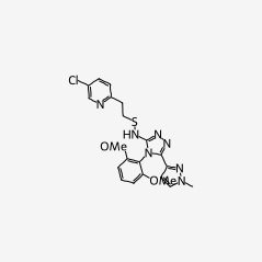 COc1cccc(OC)c1-n1c(NSCCc2ccc(Cl)cn2)nnc1-c1ccn(C)n1